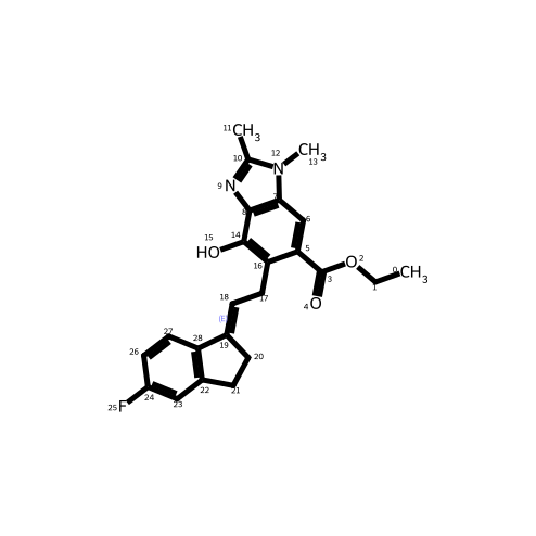 CCOC(=O)c1cc2c(nc(C)n2C)c(O)c1C/C=C1\CCc2cc(F)ccc21